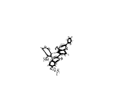 O=C(O)c1ccc2c(c1)nc(-c1ccc3nc(-c4ccccc4)cnc3c1)n2[C@H]1CCCC[C@@H]1O